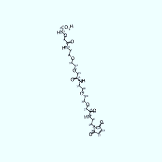 O=C(O)NOCC(=O)NCCOCCOCC(=O)NCCOCCOCC(=O)NCCN1C(=O)C=CC1=O